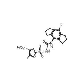 Cc1oc(S(=O)(=O)NC(=O)Nc2c3c(c(F)c4c2CCC4)CCC3)cc1C(=O)O